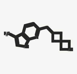 FC(F)(F)c1c[nH]c2nc(CC3CC4(CNC4)C3)ccc12